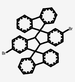 Brc1ccc2c(c1)C1(c3ccccc3-c3ccccc31)C1c3ccc(Br)cc3C3(c4ccccc4-c4ccccc43)C21